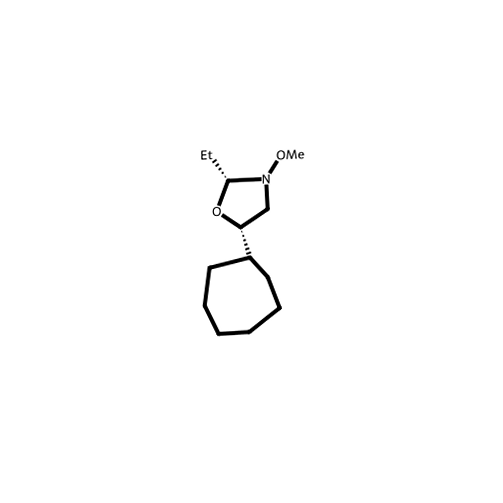 CC[C@H]1O[C@@H](C2CCCCCC2)CN1OC